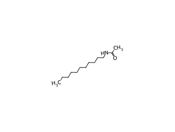 CCCCCCCCCCCNC(C)=O